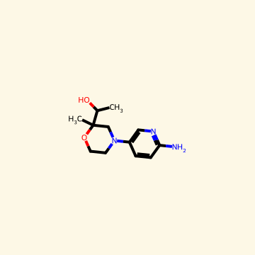 CC(O)C1(C)CN(c2ccc(N)nc2)CCO1